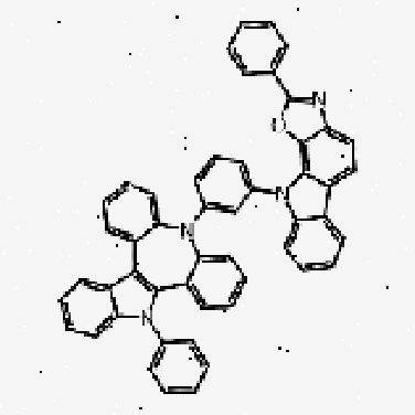 c1ccc(-c2nc3ccc4c5ccccc5n(-c5cccc(N6c7ccccc7-c7c(n(-c8ccccc8)c8ccccc78)-c7ccccc76)c5)c4c3o2)cc1